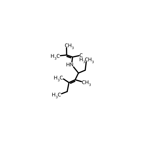 CC/C(C)=C(\C)C(CC)NC(C)=C(C)C